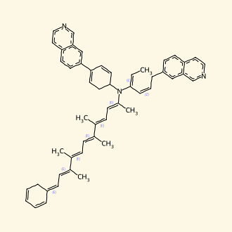 C/C=C(\C=C/Cc1ccc2ccncc2c1)N(/C(C)=C/C=C(C)/C(C)=C/C=C(C)/C(C)=C/C=C1/C=CC=CC1)C1C=CC(c2ccc3ccncc3c2)=CC1